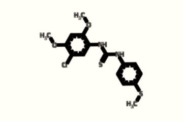 COc1cc(OC)c(NC(=S)Nc2ccc(SC)cc2)cc1Cl